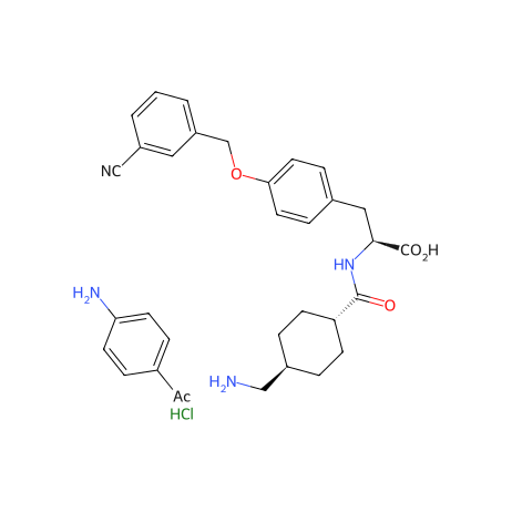 CC(=O)c1ccc(N)cc1.Cl.N#Cc1cccc(COc2ccc(C[C@H](NC(=O)[C@H]3CC[C@H](CN)CC3)C(=O)O)cc2)c1